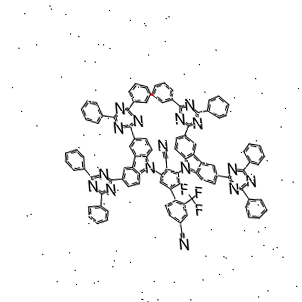 N#Cc1ccc(-c2cc(-n3c4ccc(-c5nc(-c6ccccc6)nc(-c6ccccc6)n5)cc4c4cc(-c5nc(-c6ccccc6)nc(-c6ccccc6)n5)ccc43)c(C#N)c(-n3c4ccc(-c5nc(-c6ccccc6)nc(-c6ccccc6)n5)cc4c4cc(-c5nc(-c6ccccc6)nc(-c6ccccc6)n5)ccc43)c2)c(C(F)(F)F)c1